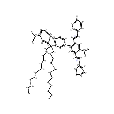 CCCCCCCCCCCCC1(CCCCCCCCCCCC)c2cc(-c3cc(/C=C/c4ccncc4)c(C(C)C)cc3/C=C/c3ccncc3)ccc2-c2ccc(C(C)C)cc21